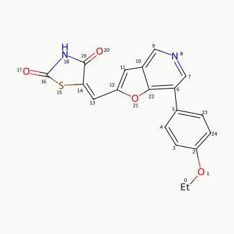 CCOc1ccc(-c2cncc3cc(C=C4SC(=O)NC4=O)oc23)cc1